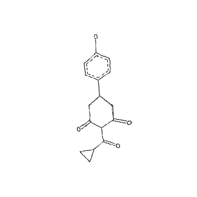 O=C1CC(c2ccc(Cl)cc2)CC(=O)C1C(=O)C1CC1